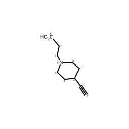 C#CC1CCN(CCC(=O)O)CC1